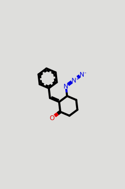 [N-]=[N+]=NC1CCCC(=O)C1=Cc1ccccc1